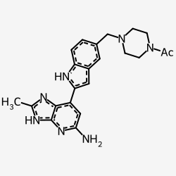 CC(=O)N1CCN(Cc2ccc3[nH]c(-c4cc(N)nc5[nH]c(C)nc45)cc3c2)CC1